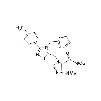 CNC(=O)c1c(NC)ncn1Cc1nnc(-c2ccc(C)cc2)n1Cc1ccccc1